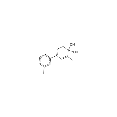 CC1=CC(c2cccc(C)c2)=CCC1(O)O